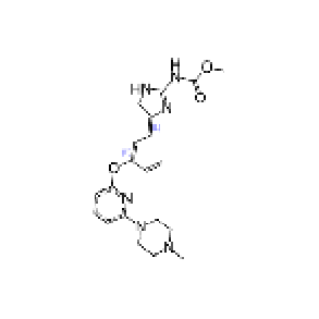 C=C/C(=C\C=C1/CNC(NC(=O)OC)=N1)Oc1cccc(N2CCN(C)CC2)n1